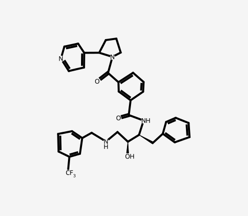 O=C(N[C@@H](Cc1ccccc1)[C@@H](O)CNCc1cccc(C(F)(F)F)c1)c1cccc(C(=O)N2CCCC2c2ccncc2)c1